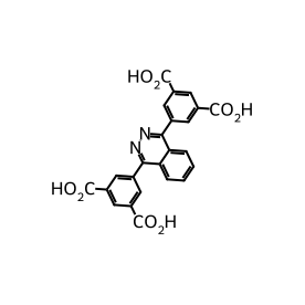 O=C(O)c1cc(C(=O)O)cc(-c2nnc(-c3cc(C(=O)O)cc(C(=O)O)c3)c3ccccc23)c1